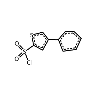 O=S(=O)(Cl)c1cc(-c2ccccc2)cs1